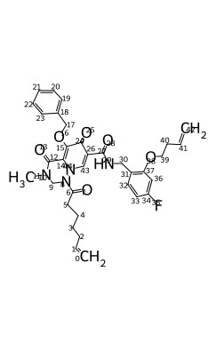 C=CCCCCC(=O)N1CN(C)C(=O)c2c(OCc3ccccc3)c(=O)c(C(=O)NCc3ccc(F)cc3OCCC=C)cn21